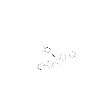 NC(C(C#Cc1ccc([N+](=O)[O-])cc1)N1CCN(c2ccccc2)CC1)N1CCN(c2ccccc2)CC1